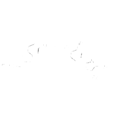 CCCc1cc(-c2nc(C)c(C(C)=O)s2)ccc1OCCCOc1ccc2c(c1)CC(CC(=O)O)C2